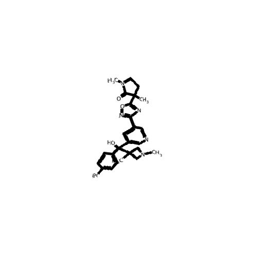 CC(C)c1ccc(C(O)(c2cncc(-c3noc(C4(C)CCN(C)C4=O)n3)c2)C2(C)CN(C)C2)cc1